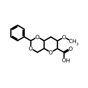 COC1CC2OC(c3ccccc3)OCC2OC1C(=O)O